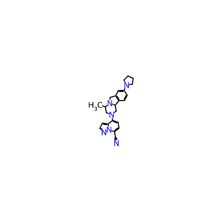 CC1CN(c2ccc(C#N)n3nccc23)CC2c3ccc(N4CCCC4)cc3CN12